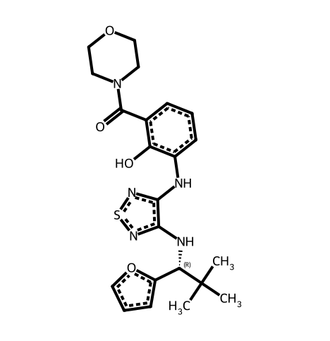 CC(C)(C)[C@@H](Nc1nsnc1Nc1cccc(C(=O)N2CCOCC2)c1O)c1ccco1